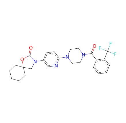 O=C(c1ccccc1C(F)(F)F)N1CCN(c2ccc(N3CC4(CCCCC4)OC3=O)cn2)CC1